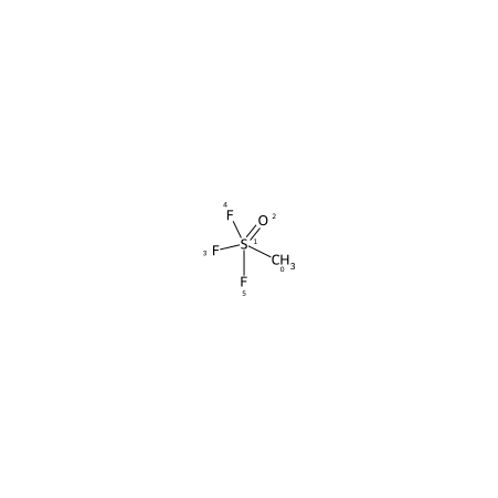 CS(=O)(F)(F)F